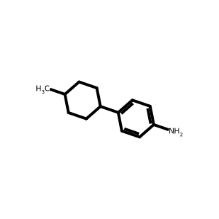 CC1CCC(c2ccc(N)cc2)CC1